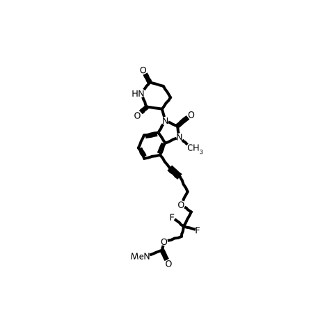 CNC(=O)OCC(F)(F)COCC#Cc1cccc2c1n(C)c(=O)n2C1CCC(=O)NC1=O